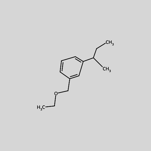 CCOCc1cccc(C(C)CC)c1